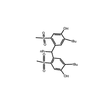 CCCC(c1cc(C(C)(C)C)c(O)cc1S(C)(=O)=O)c1cc(C(C)(C)C)c(O)cc1S(C)(=O)=O